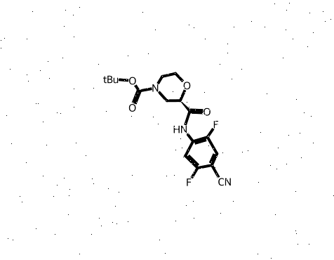 CC(C)(C)OC(=O)N1CCO[C@@H](C(=O)Nc2cc(F)c(C#N)cc2F)C1